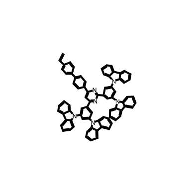 C=Cc1ccc(-c2ccc(-c3cc(-c4cc(-n5c6ccccc6c6ccccc65)cc(-n5c6ccccc6c6ccccc65)c4)nc(-c4cc(-n5c6ccccc6c6ccccc65)cc(-n5c6ccccc6c6ccccc65)c4)n3)cc2)cc1